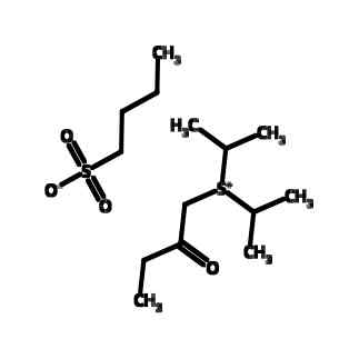 CCC(=O)C[S+](C(C)C)C(C)C.CCCCS(=O)(=O)[O-]